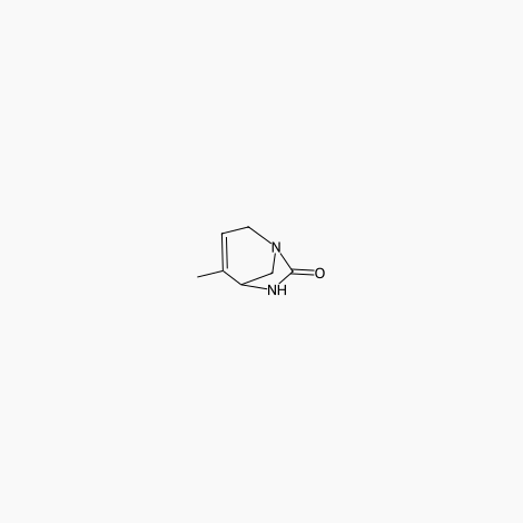 CC1=CCN2CC1NC2=O